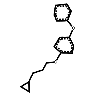 c1ccc(Oc2ccc(OCCCC3CC3)cc2)cc1